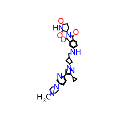 CN1CCN(c2ccc(-c3cn(C4CC(CNc5ccc6c(c5)C(=O)N(C5CCC(=O)NC5=O)C6=O)C4)nc3C3CC3)nc2)CC1